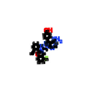 C#Cc1cccc2nc(Cn3nc(-c4ccc(O)cc4)c4c(N)ncnc43)n(Cc3ccccc3F)c(=O)c12